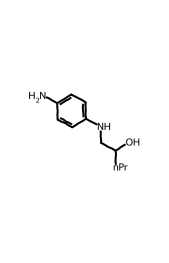 CCCC(O)CNc1ccc(N)cc1